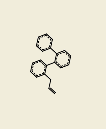 C=CCc1ccccc1-c1ccccc1-c1ccccc1